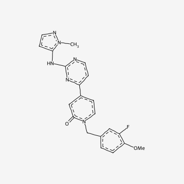 COc1ccc(Cn2ccc(-c3ccnc(Nc4ccnn4C)n3)cc2=O)cc1F